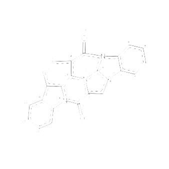 O=c1c2cc3c4ccccc4n4c(=O)c5ccc6c7ccccc7n1c6c5n2c34